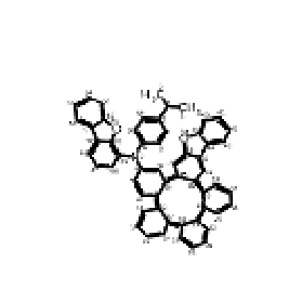 CC(C)c1ccc(N(c2ccc3c4ccccc4c4ccccc4c4ccccc4c4cc5c(cc4c3c2)oc2ccccc25)c2cccc3c2oc2ccccc23)cc1